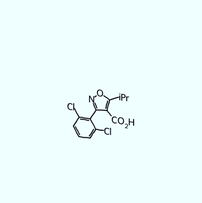 CC(C)c1onc(-c2c(Cl)cccc2Cl)c1C(=O)O